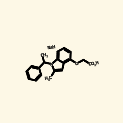 Cc1cc2c(OCC(=O)O)cccc2n1C(C)c1ccccc1.[NaH]